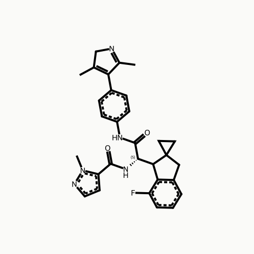 CC1=NCC(C)=C1c1ccc(NC(=O)[C@@H](NC(=O)c2ccnn2C)C2c3c(F)cccc3CC23CC3)cc1